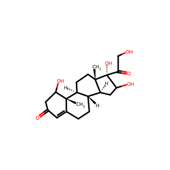 C[C@]12CC[C@H]3[C@@H](CCC4=CC(=O)CC(O)[C@@]43C)[C@@H]1CC(O)[C@]2(O)C(=O)CO